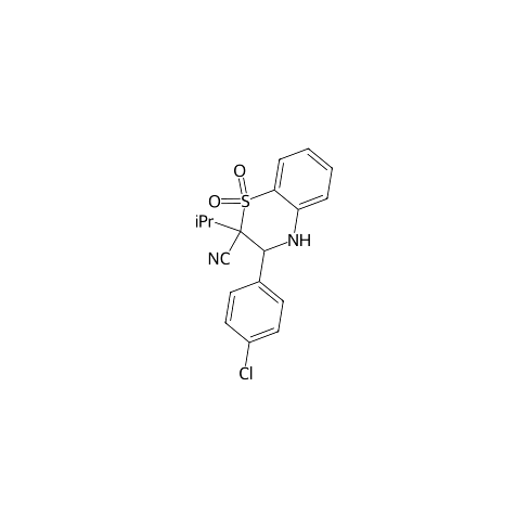 CC(C)C1(C#N)C(c2ccc(Cl)cc2)Nc2ccccc2S1(=O)=O